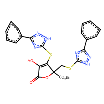 CCOC(=O)C1(CSc2nc(-c3ccccc3)n[nH]2)OC(=O)C(O)=C1Sc1nc(-c2ccccc2)n[nH]1